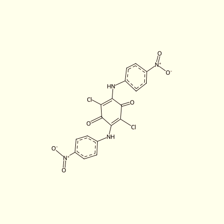 O=C1C(Cl)=C(Nc2ccc([N+](=O)[O-])cc2)C(=O)C(Cl)=C1Nc1ccc([N+](=O)[O-])cc1